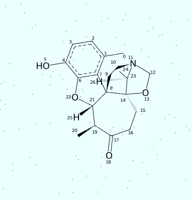 Cc1ccc(O)c2c1[C@]13CC[N@@]4CO[C@]1(CCC(=O)[C@@H](C)[C@@H]3O2)[C@H]4C